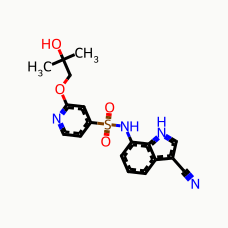 CC(C)(O)COc1cc(S(=O)(=O)Nc2cccc3c(C#N)c[nH]c23)ccn1